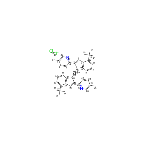 Cc1ccc(C2=Cc3c(cccc3C(C)(C)C)[CH]2[Zr+2][CH]2C(c3ccc(C)cn3)=Cc3c2cccc3C(C)(C)C)nc1.[Cl-].[Cl-]